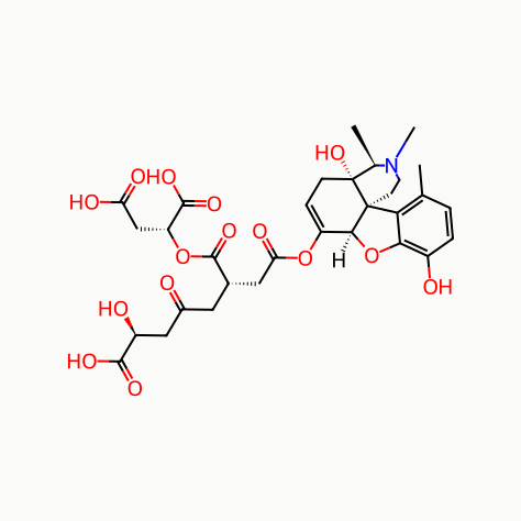 Cc1ccc(O)c2c1[C@]13CCN(C)[C@H](C)[C@]1(O)CC=C(OC(=O)C[C@H](CC(=O)C[C@H](O)C(=O)O)C(=O)O[C@H](CC(=O)O)C(=O)O)[C@@H]3O2